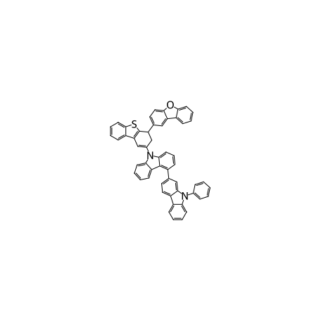 C1=C(n2c3ccccc3c3c(-c4ccc5c6ccccc6n(-c6ccccc6)c5c4)cccc32)CC(c2ccc3oc4ccccc4c3c2)c2sc3ccccc3c21